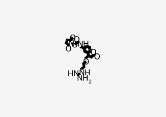 N=C(N)NCCCOCc1cc(=O)oc2ccc(CNC(=O)ON3C(=O)CCC3=O)cc12